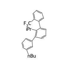 CCCCc1cccc(-c2[c]ccc(-c3ccccc3C(F)(F)F)c2C(C)C)c1